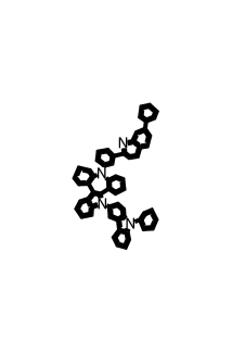 c1ccc(-c2ccc3ccc(-c4cccc(N5c6ccccc6-c6c(n(-c7ccc8c(c7)c7ccccc7n8-c7ccccc7)c7ccccc67)-c6ccccc65)c4)nc3c2)cc1